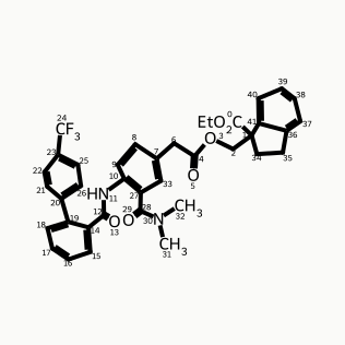 CCOC(=O)C1(COC(=O)Cc2ccc(NC(=O)c3ccccc3-c3ccc(C(F)(F)F)cc3)c(C(=O)N(C)C)c2)CCc2ccccc21